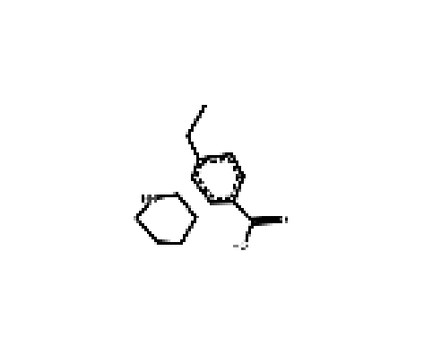 C1CCNCC1.CCc1ccc(C(=O)O)cc1